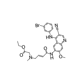 CCOC(=O)CN(C)C/C=C/C(=O)Nc1cc2c(Nc3cccc(Br)c3)c(C#N)cnc2cc1OC